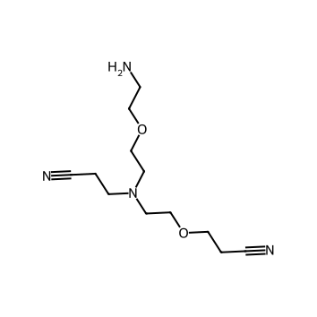 N#CCCOCCN(CCC#N)CCOCCN